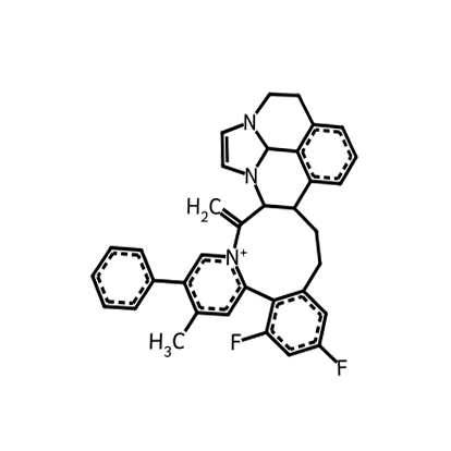 C=C1C2C(CCc3cc(F)cc(F)c3-c3cc(C)c(-c4ccccc4)c[n+]31)c1cccc3c1C1N(C=CN21)CC3